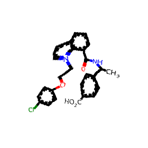 CC(NC(=O)c1cccc2ccn(CCOc3ccc(Cl)cc3)c12)c1ccc(C(=O)O)cc1